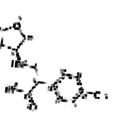 CC(C)C(=O)[C@H](CN[C@H]1CCOC1)c1ccc(Cl)cc1